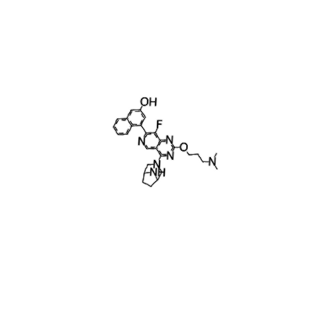 CN(C)CCCOc1nc(N2CC3CCC(C2)N3)c2cnc(-c3cc(O)cc4ccccc34)c(F)c2n1